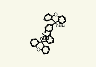 CCCCC1(c2ccc3sc4c(C5(CCCC)c6ccccc6Oc6ccccc65)cccc4c3c2)c2ccccc2Oc2ccccc21